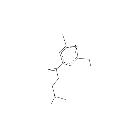 C=C(CCN(C)C)c1cc(C)nc(CC)c1